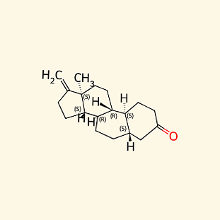 C=C1CC[C@H]2[C@@H]3CC[C@H]4CC(=O)CC[C@@H]4[C@H]3CC[C@]12C